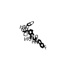 O=C(CN1Cc2ccc(-c3nc(NC4CCOCC4)ncc3Cl)cc2C1O)NC1CCc2cc(F)ccc21